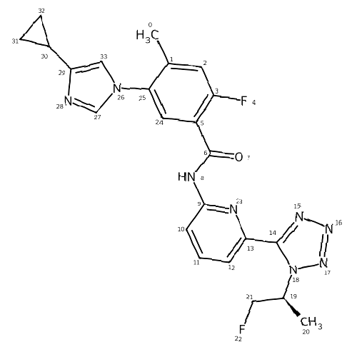 Cc1cc(F)c(C(=O)Nc2cccc(-c3nnnn3[C@@H](C)CF)n2)cc1-n1cnc(C2CC2)c1